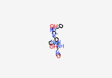 Oc1cccnc1Cn1c(NCCCN2CCOCC2)nc2ccc(C[n+]3ccc4c(c3)nc(O)n4CCc3ccccc3)cc21